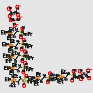 CCCS(=O)(=O)CC[P+](CC)(CC)CC.CCCS(=O)(=O)CC[P+](CC)(CC)CC.CCCS(=O)(=O)CC[P+](CC)(CC)CC.CCCS(=O)(=O)CC[P+](CC)(CC)CC.CCCS(=O)(=O)CC[P+](CC)(CC)CC.CCCS(=O)(=O)CC[P+](CC)(CC)CC.CCCS(=O)(=O)CC[P+](CC)(CC)CC.O=C([O-])C(=O)[O-].O=C([O-])C(=O)[O-].[O-]B([O-])[O-]